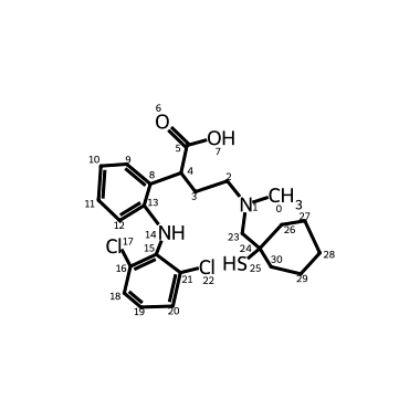 CN(CCC(C(=O)O)c1ccccc1Nc1c(Cl)cccc1Cl)CC1(S)CCCCC1